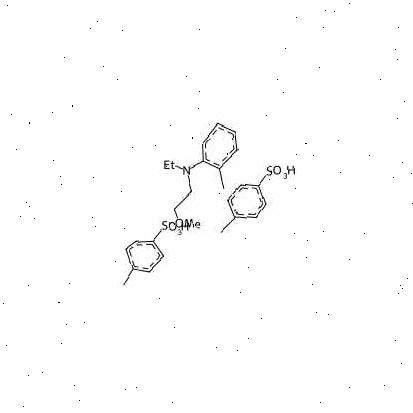 CCN(CCOC)c1ccccc1C.Cc1ccc(S(=O)(=O)O)cc1.Cc1ccc(S(=O)(=O)O)cc1